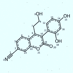 N#Cc1ccc2c(CCO)c(-c3ccc(O)cc3O)c(=O)oc2c1